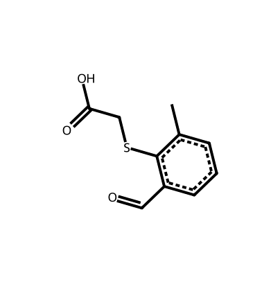 Cc1cccc(C=O)c1SCC(=O)O